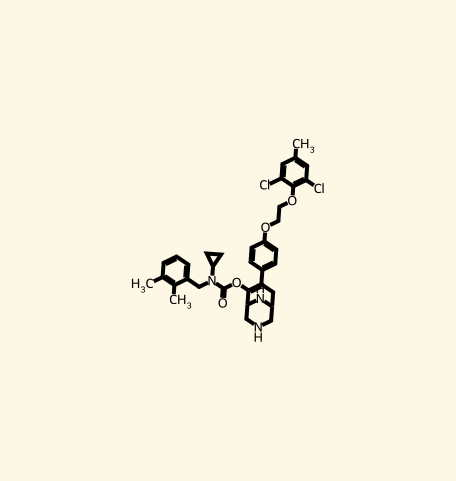 Cc1cc(Cl)c(OCCOc2ccc(C3=C(OC(=O)N(Cc4cccc(C)c4C)C4CC4)C4CNCC(C3)N4)cc2)c(Cl)c1